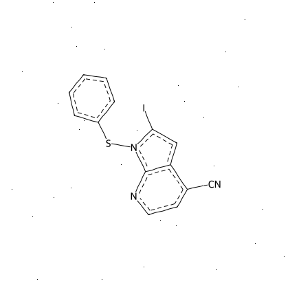 N#Cc1ccnc2c1cc(I)n2Sc1ccccc1